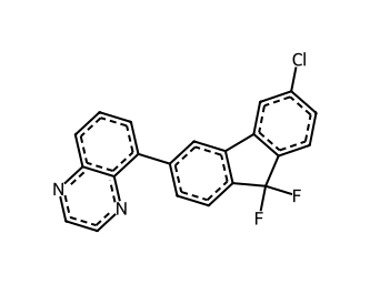 FC1(F)c2ccc(Cl)cc2-c2cc(-c3cccc4nccnc34)ccc21